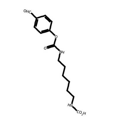 O=Cc1ccc(OC(=O)NCCCCCCNC(=O)O)cc1